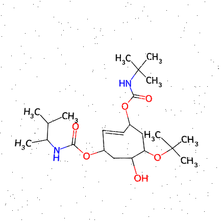 CC(C)C(C)NC(=O)OC1/C=C/C(OC(=O)NC(C)(C)C)CC(OC(C)(C)C)C(O)C1